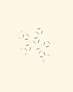 Cc1cccc(C)c1-c1cc2c3c(c1)N(c1ccc([Si](C)(C)C)cc1)c1c(sc4cc5c(cc14)C(C)(C)CCC5(C)C)B3c1cc3c(cc1N2c1ccc2c(c1)C(C)(C)CCC2(C)C)C(C)(C)CCC3(C)C